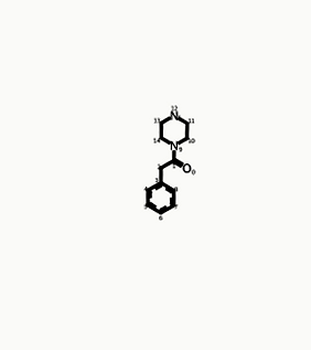 O=C(Cc1ccccc1)N1CC[N]CC1